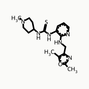 Cc1nc(CNc2ncccc2NC(=S)NC2CCN(C)CC2)c(C)o1